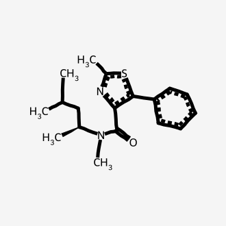 Cc1nc(C(=O)N(C)[C@@H](C)CC(C)C)c(-c2ccccc2)s1